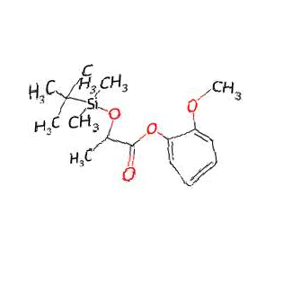 COc1ccccc1OC(=O)C(C)O[Si](C)(C)C(C)(C)C